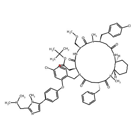 COC[C@@H]1NC(=O)[C@H](CC(=O)OC(C)(C)C)N(Cc2ccc(Cl)cc2Oc2ccc(-c3cnc(CN(C)C)n3C)cc2)C(=O)C[C@@H](Cc2ccccc2)C(=O)N(C)[C@H]2CCCC[C@@H]2NC(=O)C[C@H](Cc2ccc(Cl)cc2)N(C)C1=O